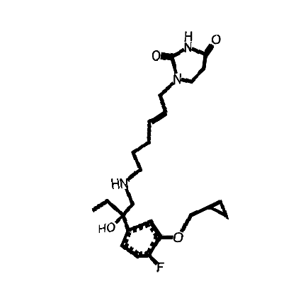 CCC(O)(CNCCC/C=C/CN1CCC(=O)NC1=O)c1ccc(F)c(OCC2CC2)c1